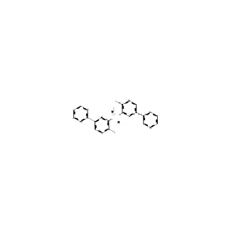 Cc1ccc(-c2ccccc2)cc1S(=O)(=O)c1cc(-c2ccccc2)ccc1C